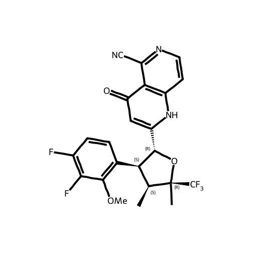 COc1c([C@H]2[C@H](c3cc(=O)c4c(C#N)nccc4[nH]3)O[C@@](C)(C(F)(F)F)[C@H]2C)ccc(F)c1F